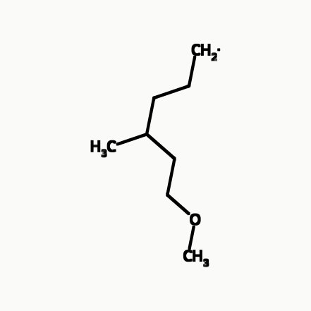 [CH2]CCC(C)CCOC